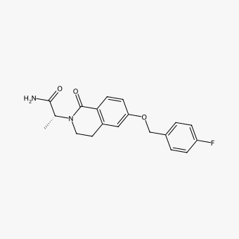 C[C@H](C(N)=O)N1CCc2cc(OCc3ccc(F)cc3)ccc2C1=O